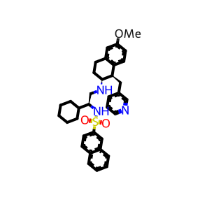 COc1ccc2c(c1)CC[C@@H](NC[C@@H](NS(=O)(=O)c1ccc3ccccc3c1)C1CCCCC1)[C@@H]2Cc1cccnc1